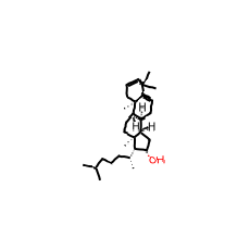 CC(C)CCC[C@@H](C)[C@H]1[C@@H](O)C[C@H]2[C@@H]3CC=C4C(C)(C)C=CC[C@]4(C)[C@H]3CC[C@]12C